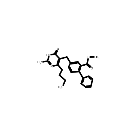 CCCCc1nc(N)[nH]c(=O)c1Cc1ccc(-c2ccccc2)c(C(=O)OC)c1